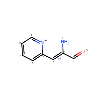 N/C([C]=O)=C\c1ccccn1